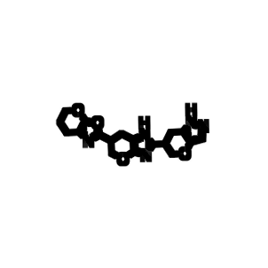 c1n[nH]c2c1OCC(c1nc3c([nH]1)CC(c1nc4c(o1)OCCC4)CO3)C2